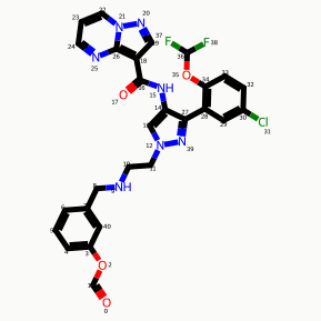 O=COc1cccc(CNCCn2cc(NC(=O)c3cnn4cccnc34)c(-c3cc(Cl)ccc3OC(F)F)n2)c1